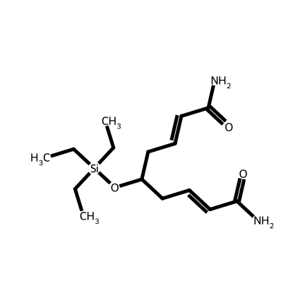 CC[Si](CC)(CC)OC(CC=CC(N)=O)CC=CC(N)=O